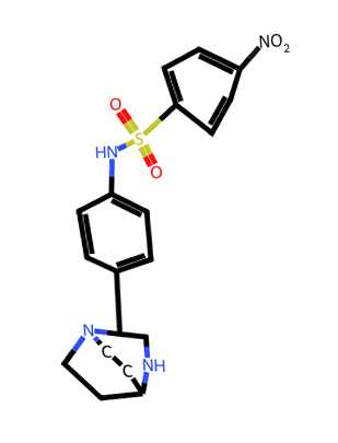 O=[N+]([O-])c1ccc(S(=O)(=O)Nc2ccc(C3CNC4CCN3CC4)cc2)cc1